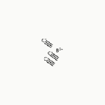 [B+3].[C-]#C.[C-]#C.[C-]#C